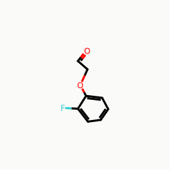 O=CCOc1ccccc1F